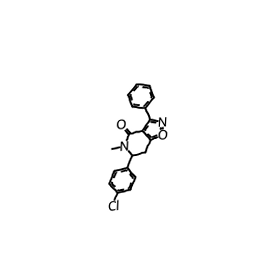 CN1C(=O)c2c(-c3ccccc3)noc2CC1c1ccc(Cl)cc1